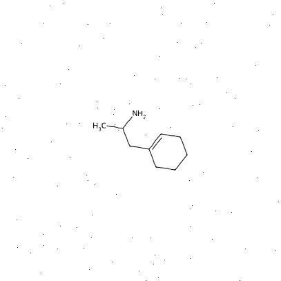 CC(N)CC1=CCCCC1